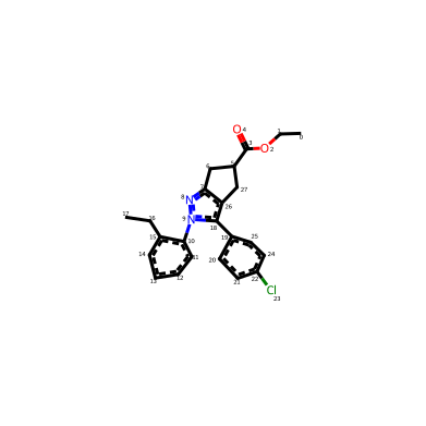 CCOC(=O)C1Cc2nn(-c3ccccc3CC)c(-c3ccc(Cl)cc3)c2C1